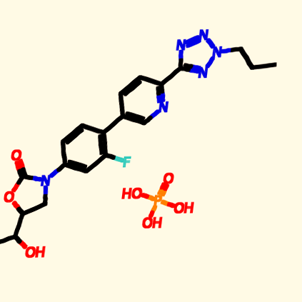 CCCn1nnc(-c2ccc(-c3ccc(N4CC(C(O)CC)OC4=O)cc3F)cn2)n1.O=P(O)(O)O